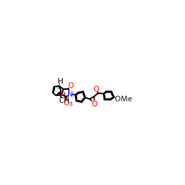 COc1ccc(C(=O)C2OC2c2ccc(N3C(=O)C4C(C3=O)[C@@H]3C=CC4[C@@H](C)C3)cc2)cc1